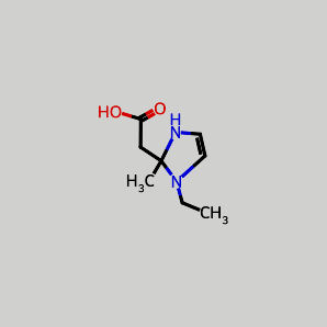 CCN1C=CNC1(C)CC(=O)O